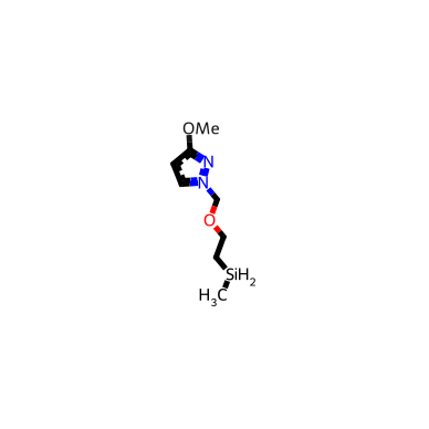 COc1ccn(COCC[SiH2]C)n1